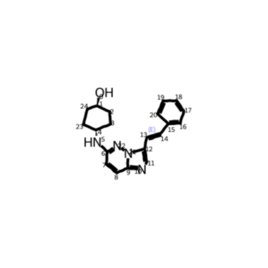 O[C@H]1CC[C@H](Nc2ccc3ncc(/C=C/c4ccccc4)n3n2)CC1